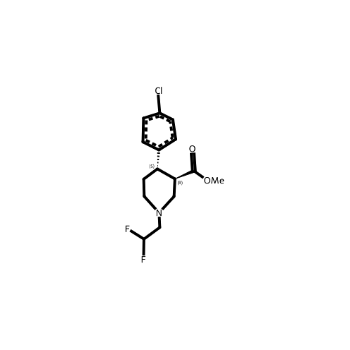 COC(=O)[C@H]1CN(CC(F)F)CC[C@@H]1c1ccc(Cl)cc1